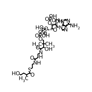 CC(CCO)C(=O)SCCNC(=O)CCNC(=O)C(O)C(C)(C)COP(=O)(O)OP(=O)(O)OC[C@H]1O[C@@H](n2cnc3c(N)ncnc32)[C@H](O)[C@@H]1OP(=O)(O)O